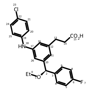 CCO[C@H](c1ccc(F)cc1)c1cc(CCC(=O)O)cc(Nc2ccc(Cl)cc2)c1